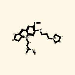 COc1cc2c(cc1OCCCN1CCCC1)N(CCC(C)OC)C1CCCC1=C2